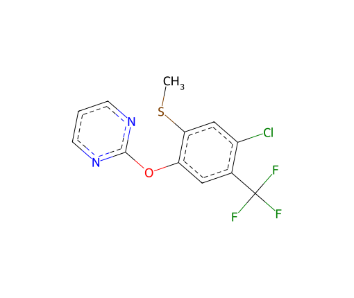 CSc1cc(Cl)c(C(F)(F)F)cc1Oc1ncccn1